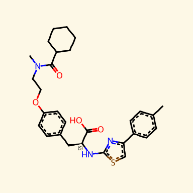 Cc1ccc(-c2csc(N[C@@H](Cc3ccc(OCCN(C)C(=O)C4CCCCC4)cc3)C(=O)O)n2)cc1